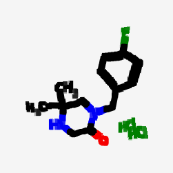 CC1(C)CN(Cc2ccc(F)cc2)C(=O)CN1.Cl.Cl